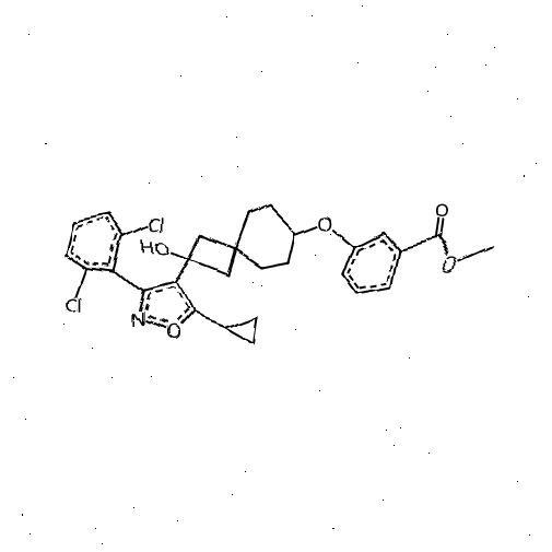 COC(=O)c1cccc(OC2CCC3(CC2)CC(O)(c2c(-c4c(Cl)cccc4Cl)noc2C2CC2)C3)c1